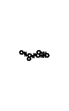 c1ccc(/N=N/c2ccc(/N=N/c3ccc4c5c(cccc35)NC(c3ccccc3)N4)c3ccccc23)cc1